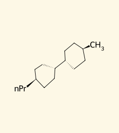 CCC[C@H]1CC[C@H]([C@H]2CC[C@H](C)CC2)CC1